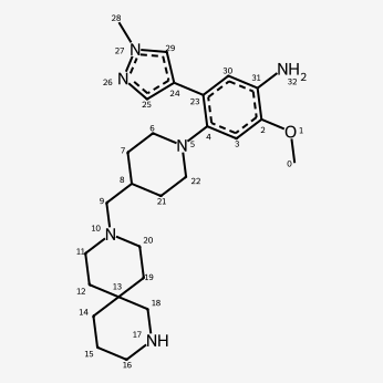 COc1cc(N2CCC(CN3CCC4(CCCNC4)CC3)CC2)c(-c2cnn(C)c2)cc1N